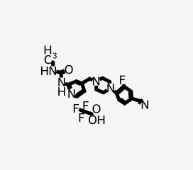 CCNC(=O)Nc1cc(CN2CCN(c3ccc(C#N)cc3F)CC2)ccn1.O=C(O)C(F)(F)F